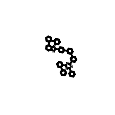 c1ccc(-c2nc(-c3cccc(-c4cccc(-c5ccc(-c6nc7cccc8c7n6-c6ccccc6-c6ccccc6-8)cc5)c4)c3)nc(-c3ccccc3-c3ccccc3)n2)cc1